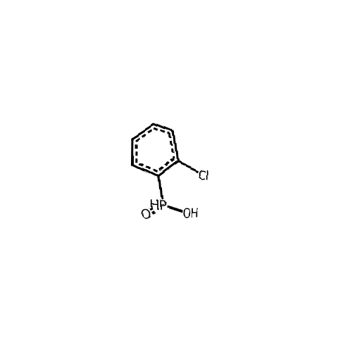 O=[PH](O)c1ccccc1Cl